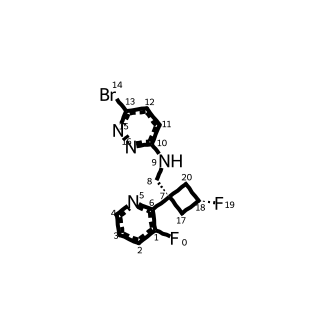 Fc1cccnc1[C@]1(CNc2ccc(Br)nn2)C[C@@H](F)C1